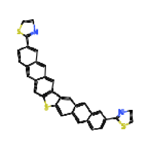 c1csc(-c2ccc3cc4cc5sc6cc7cc8ccc(-c9nccs9)cc8cc7cc6c5cc4cc3c2)n1